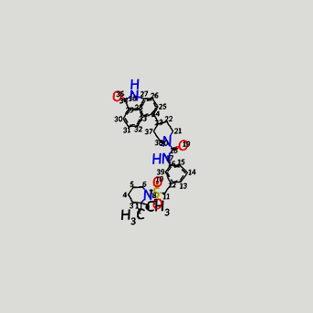 CC1(C)CCCCN1S(=O)(=O)Cc1cccc(NC(=O)N2CCC(c3ccc4c5c(cccc35)C(=O)N4)CC2)c1